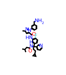 Cc1cc(C(=O)Nc2cc(C(CCC3CC3)(NC(=O)CC(C)C)c3cccnc3)ccc2F)n(-c2cccc(CN)c2)n1